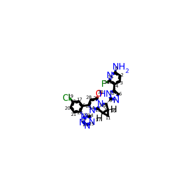 Nc1ccc(-c2cnc([C@@H]3[C@H]4C[C@H]4c4nc(-c5cc(Cl)ccc5-n5cnnn5)cc(=O)n43)[nH]2)c(F)n1